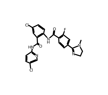 CN1CCN=C1c1ccc(C(=O)Nc2ccc(Cl)cc2C(=O)Nc2ccc(Cl)cn2)c(F)c1